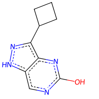 Oc1ncc2[nH]nc(C3CCC3)c2n1